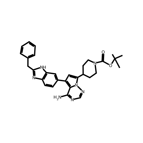 CC(C)(C)OC(=O)N1CCC(c2cc(-c3ccc4nc(Cc5ccccc5)[nH]c4c3)c3c(N)ncnn23)CC1